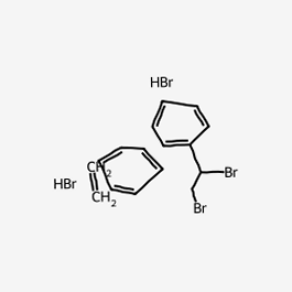 Br.Br.BrCC(Br)c1ccccc1.C=C.c1ccccc1